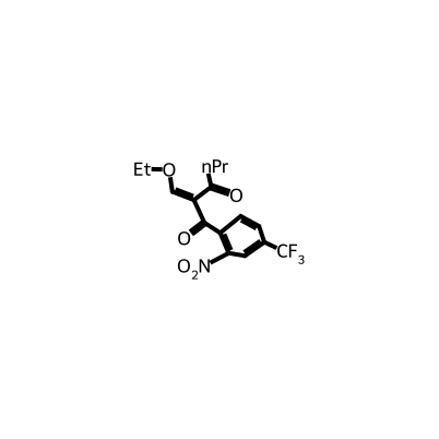 CCCC(=O)C(=COCC)C(=O)c1ccc(C(F)(F)F)cc1[N+](=O)[O-]